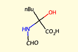 CCCCC(O)(NC=O)C(=O)O